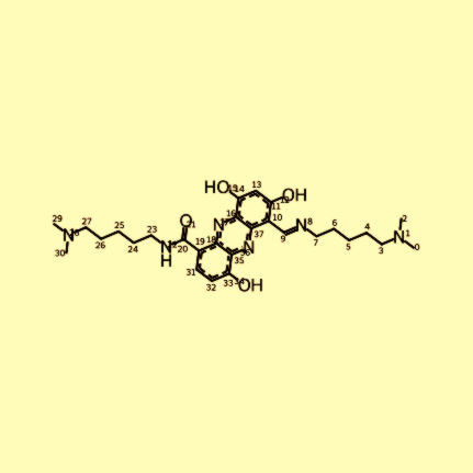 CN(C)CCCCCN=Cc1c(O)cc(O)c2nc3c(C(=O)NCCCCCN(C)C)ccc(O)c3nc12